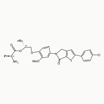 CCCC[C@H](COc1ccc(N2Cc3cc(-c4ccc(Cl)cc4)sc3C2=O)cc1OC)OC(=O)[C@@H](N)C(C)C